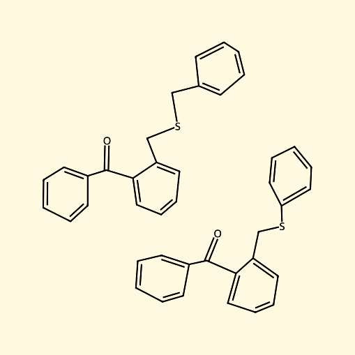 O=C(c1ccccc1)c1ccccc1CSCc1ccccc1.O=C(c1ccccc1)c1ccccc1CSc1ccccc1